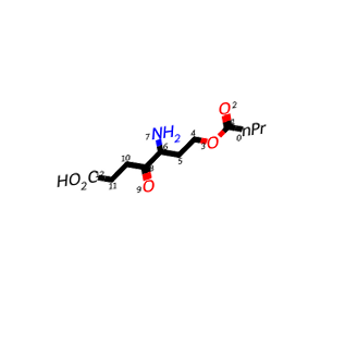 CCCC(=O)OCCC(N)C(=O)CCC(=O)O